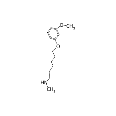 CNCCCCCCOc1cccc(OC)c1